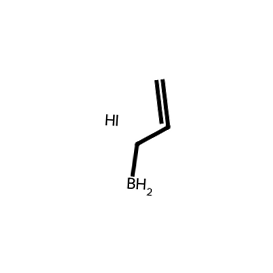 BCC=C.I